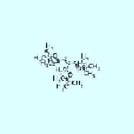 C[Si](C)(C)O[SiH2]C=C([SiH2]O[Si](C)(C)C)[SiH2]O[Si](C)(C)C